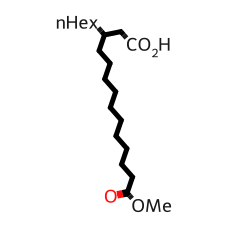 CCCCCCC(CCCCCCCCCCC(=O)OC)CC(=O)O